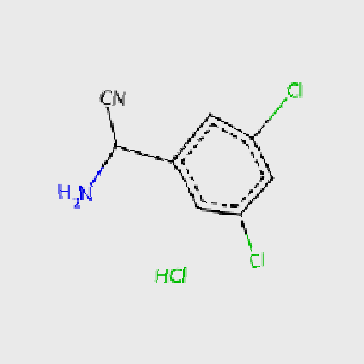 Cl.N#CC(N)c1cc(Cl)cc(Cl)c1